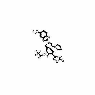 O=C(O)C(F)(F)F.O=c1[nH]c(-c2ccc(CN(CCN3CCCC3)c3nc4ccc(C(F)(F)F)cc4s3)cc2F)no1